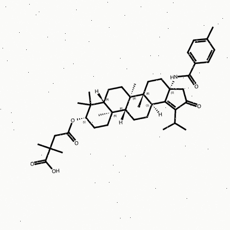 Cc1ccc(C(=O)N[C@@]23CC[C@]4(C)[C@H](CC[C@@H]5[C@@]6(C)CC[C@H](OC(=O)CC(C)(C)C(=O)O)C(C)(C)[C@@H]6CC[C@]54C)C2=C(C(C)C)C(=O)C3)cc1